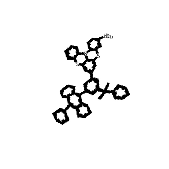 CC(C)(C)c1ccc2c(c1)Sc1cc(-c3cc(-c4c5ccccc5c(-c5ccccc5)c5ccccc45)cc(C(C)(C)c4ccccc4)c3)cc3c1B2c1ccccc1S3